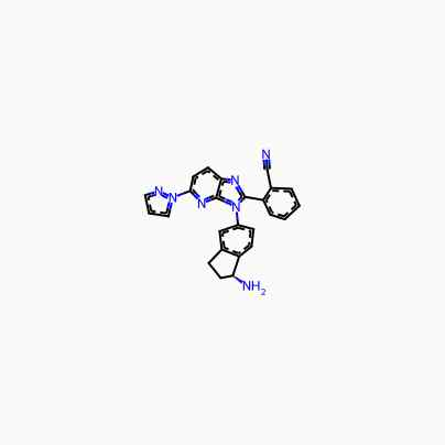 N#Cc1ccccc1-c1nc2ccc(-n3cccn3)nc2n1-c1ccc2c(c1)CC[C@@H]2N